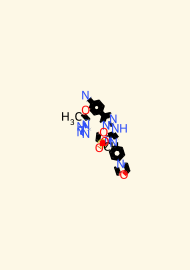 C[C@@H](Cn1cnnn1)Oc1cc(-c2cnc(Nc3cn([C@H]4CC[C@H](N5CCOCC5)CC4)nc3OCCS(C)(=O)=O)nc2)ccc1C#N